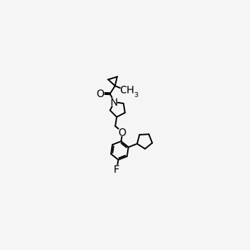 CC1(C(=O)N2CCC(COc3ccc(F)cc3C3CCCC3)C2)CC1